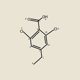 CCc1cc(Cl)c(C(=O)O)c(Cl)c1